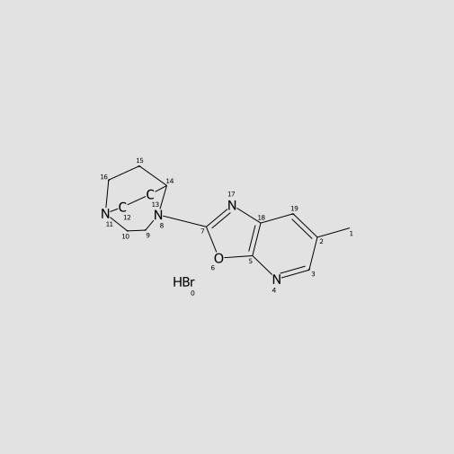 Br.Cc1cnc2oc(N3CCN4CCC3CC4)nc2c1